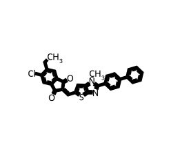 CCc1cc2c(cc1Cl)C(=O)/C(=C/c1cc3c(nc(-c4ccc(-c5ccccc5)cc4)n3C)s1)C2=O